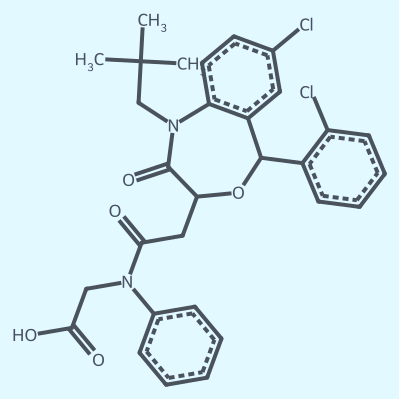 CC(C)(C)CN1C(=O)C(CC(=O)N(CC(=O)O)c2ccccc2)OC(c2ccccc2Cl)c2cc(Cl)ccc21